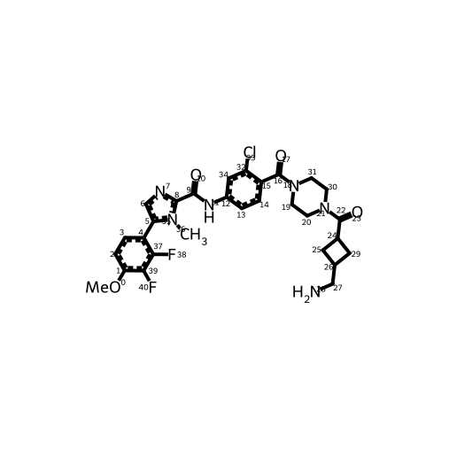 COc1ccc(-c2cnc(C(=O)Nc3ccc(C(=O)N4CCN(C(=O)C5CC(CN)C5)CC4)c(Cl)c3)n2C)c(F)c1F